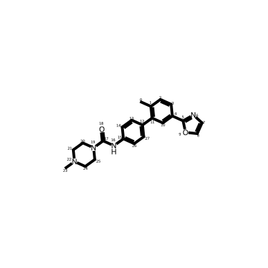 Cc1ccc(-c2ncco2)cc1-c1ccc(NC(=O)N2CCN(C)CC2)cc1